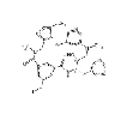 Cc1csc(CN(C)C(=O)c2cc(CF)cc(C(=O)N[C@@H](Cc3ccccc3)[C@H](O)CN(C)c3cncc(C(C)C)c3)c2)n1